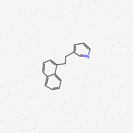 c1cncc(CCc2cccc3ccccc23)c1